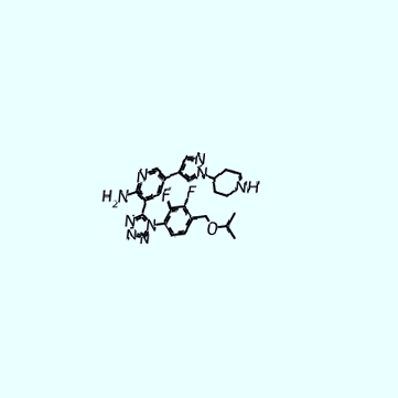 CC(C)OCc1ccc(-n2nnnc2-c2cc(-c3cnn(C4CCNCC4)c3)cnc2N)c(F)c1F